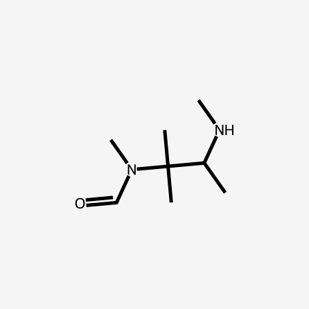 CNC(C)C(C)(C)N(C)C=O